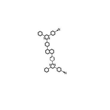 N#Cc1ccc(-c2cc(-c3ccccc3)nc(-c3ccc(-c4cccc5c(C6=CCC(c7nc(-c8ccccc8)cc(-c8ccc(C#N)cc8)n7)C=C6)cccc45)cc3)n2)cc1